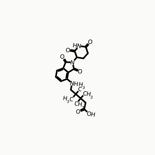 CC(C)(CNc1cccc2c1C(=O)N(C1CCC(=O)NC1=O)C2=O)C(C)(C)CC(=O)O